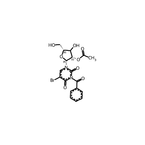 CC(=O)O[C@H]1C(O)[C@@H](CO)O[C@H]1n1cc(Br)c(=O)n(C(=O)c2ccccc2)c1=O